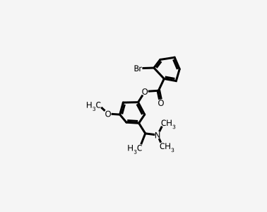 COc1cc(OC(=O)c2ccccc2Br)cc(C(C)N(C)C)c1